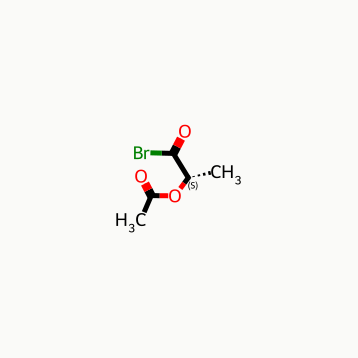 CC(=O)O[C@@H](C)C(=O)Br